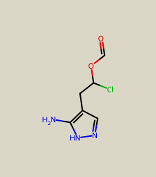 Nc1[nH]ncc1CC(Cl)OC=O